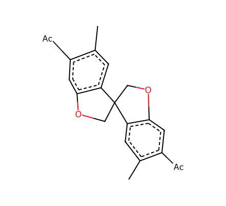 CC(=O)c1cc2c(cc1C)C1(CO2)COc2cc(C(C)=O)c(C)cc21